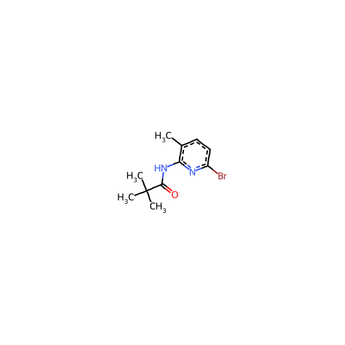 Cc1ccc(Br)nc1NC(=O)C(C)(C)C